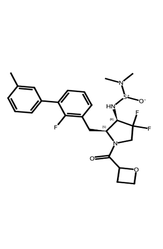 Cc1cccc(-c2cccc(C[C@H]3[C@@H](N[S+]([O-])N(C)C)C(F)(F)CN3C(=O)C3CCO3)c2F)c1